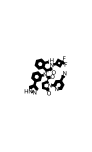 N#Cc1ccnc(N2C(=O)CC[C@H]2C(=O)N(c2cccc(-c3cn[nH]c3)c2)[C@H](C(=O)NC2CC(F)(F)C2)c2ccccc2I)c1